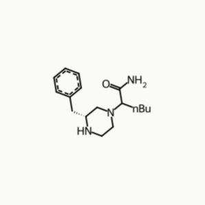 CCCCC(C(N)=O)N1CCN[C@H](Cc2ccccc2)C1